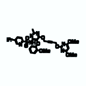 COc1cc(OC)nc(OCC#CCOc2nc(C)nc(NS(=O)(=O)c3ccc(C(C)C)cn3)c2Oc2ccccc2OC)n1